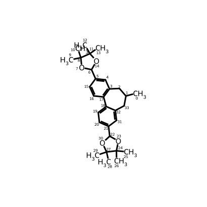 CC1Cc2cc(C3OC(C)(C)C(C)(C)O3)ccc2-c2ccc(C3OC(C)(C)C(C)(C)O3)cc2C1